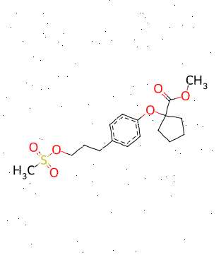 COC(=O)C1(Oc2ccc(CCCOS(C)(=O)=O)cc2)CCCC1